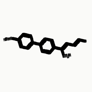 CC=CC=C(C(=O)O)c1ccc(-c2ccc(CCCCC)cc2)cc1